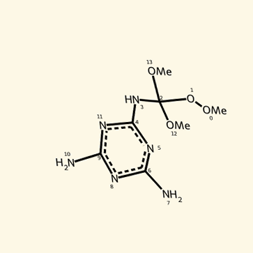 COOC(Nc1nc(N)nc(N)n1)(OC)OC